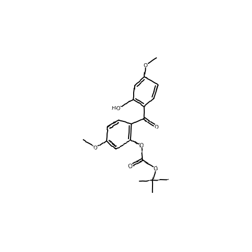 COc1ccc(C(=O)c2ccc(OC)cc2OC(=O)OC(C)(C)C)c(O)c1